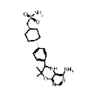 CC1(C)Oc2ncnc(N)c2NC1c1ccc([C@H]2CC[C@H](CS(N)(=O)=O)CC2)cc1